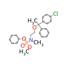 COP(=O)(Oc1ccccc1)N(C)CCOC(C)(c1ccccc1)c1ccc(Cl)cc1